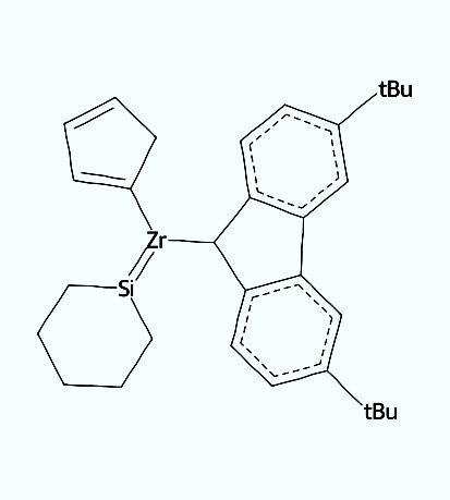 CC(C)(C)c1ccc2c(c1)-c1cc(C(C)(C)C)ccc1[CH]2[Zr]([C]1=CC=CC1)=[Si]1CCCCC1